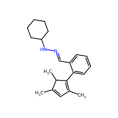 CC1=CC(C)=C(c2ccccc2/C=N/NC2CCCCC2)C1C